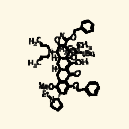 C=CCN(CC=C)[C@@H]1c2onc(OCc3ccccc3)c2C(=O)C2(O[Si](C)(C)C(C)(C)C)C(O)=C3C(=O)c4c(OCc5ccccc5)cc([C@@H]5CCCN5CC)c(OC)c4C[C@H]3C[C@@H]12